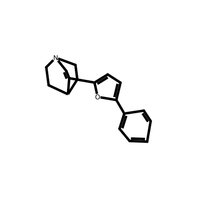 C1=C(c2ccc(-c3ccccc3)o2)C2CCN1CC2